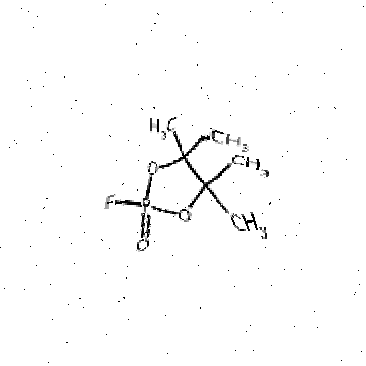 CC1(C)OP(=O)(F)OC1(C)C